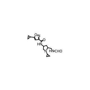 O=CNCC1CC(NC(=O)c2cc(C3CC3)on2)CN1C1CC1